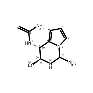 C=C(N)N[C@@H]1c2cccn2C(N)N[C@H]1CC